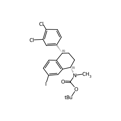 CN(C(=O)OC(C)(C)C)[C@H]1CC[C@@H](c2ccc(Cl)c(Cl)c2)c2ccc(I)cc21